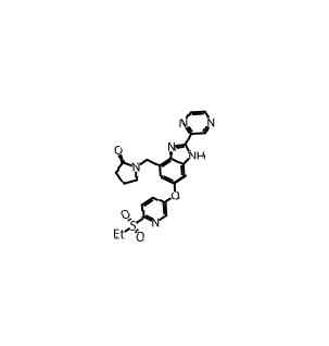 CCS(=O)(=O)c1ccc(Oc2cc(CN3CCCC3=O)c3nc(-c4cnccn4)[nH]c3c2)cn1